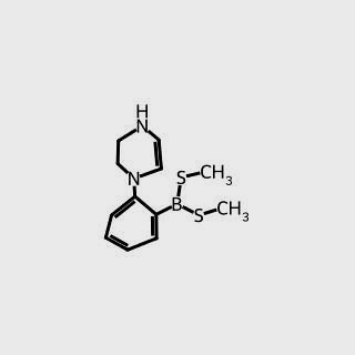 CSB(SC)c1ccccc1N1C=CNCC1